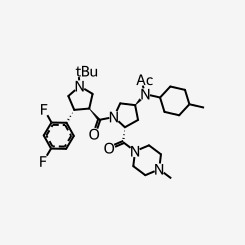 CC(=O)N(C1CCC(C)CC1)[C@H]1C[C@H](C(=O)N2CCN(C)CC2)N(C(=O)[C@@H]2CN(C(C)(C)C)C[C@H]2c2ccc(F)cc2F)C1